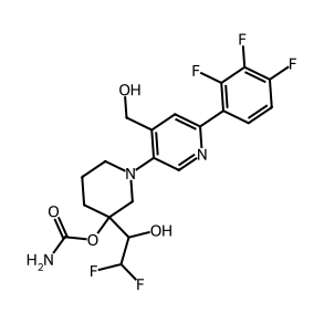 NC(=O)OC1(C(O)C(F)F)CCCN(c2cnc(-c3ccc(F)c(F)c3F)cc2CO)C1